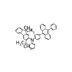 CC1(C)c2ccccc2-c2cc3c(cc21)N(c1ccc(C2=c4ccccc4=C(c4ccccc4)C4C=CC=CC24)cc1)c1ccccc1C3(C)C